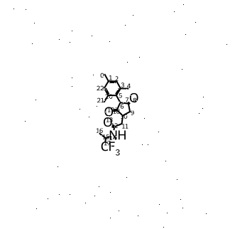 Cc1cc(C)c(C2C(=O)CC(CC(=O)NC(C)C(F)(F)F)C2=O)c(C)c1